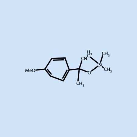 COc1ccc(C(C)(C#N)O[Si](C)(C)C)cc1